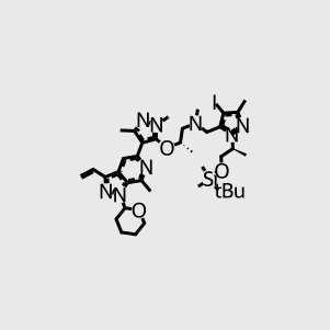 C=Cc1nn(C2CCCCO2)c2c(C)nc(-c3c(C)nn(C)c3O[C@@H](C)CN(C)Cc3c(I)c(C)nn3[C@@H](C)CO[Si](C)(C)C(C)(C)C)cc12